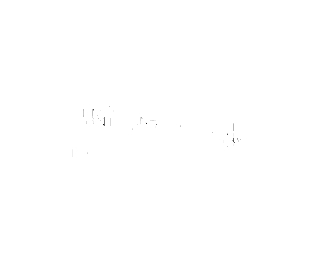 CCCCCCN1C(=O)N[C@H]2CS[C@@H](CCCCC(=O)NCCOCCOCCOCCOCCC(=O)NP=O)[C@H]21